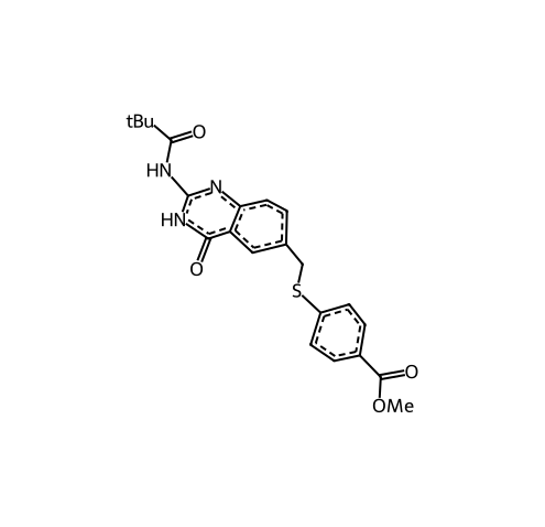 COC(=O)c1ccc(SCc2ccc3nc(NC(=O)C(C)(C)C)[nH]c(=O)c3c2)cc1